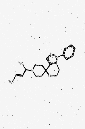 C/C=C/C(C)N1CCC2(CC1)OCCc1c2cnn1-c1ccccc1